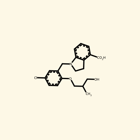 CC(CO)COc1ccc(Cl)cc1CN1CCc2c(C(=O)O)cccc21